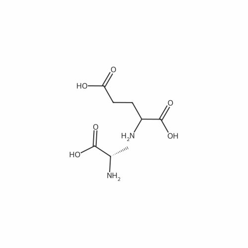 C[C@H](N)C(=O)O.NC(CCC(=O)O)C(=O)O